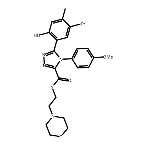 COc1ccc(-n2c(C(=O)NCCN3CCOCC3)nnc2-c2cc(C(C)C)c(C)cc2O)cc1